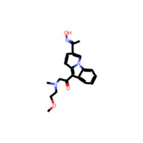 COCCN(C)CC(=O)c1c2ccccc2n2cc(C(C)=NO)ccc12